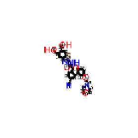 N#Cc1ccc(C(Oc2ccc(OCCN3CCOCC3)cc2)C(=O)Nc2nc3cc(CO)c(CO)cc3s2)cc1